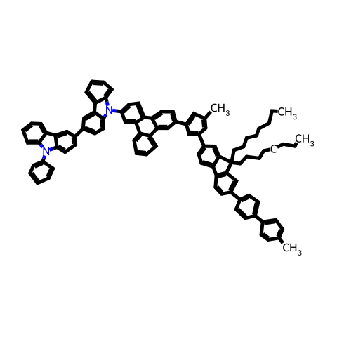 CCCCCCCCC1(CCCCCCCC)c2cc(-c3ccc(-c4ccc(C)cc4)cc3)ccc2-c2ccc(-c3cc(C)cc(-c4ccc5c6ccc(-n7c8ccccc8c8cc(-c9ccc%10c(c9)c9ccccc9n%10-c9ccccc9)ccc87)cc6c6ccccc6c5c4)c3)cc21